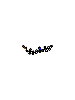 c1ccc(-c2ccc(-c3cccc(-c4c5ccccc5c(-c5ccc(-c6cccc7c(-c8ccc9c%10ccc(-c%11c%12ccccc%12c(-c%12ccc(-c%13ccccc%13)c%13ccccc%12%13)c%12ccccc%11%12)cc%10n%10c%11ccccc%11c8c9%10)cccc67)c6ccccc56)c5ccccc45)c3)s2)cc1